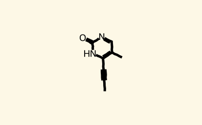 CC#Cc1[nH]c(=O)ncc1C